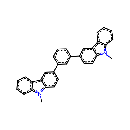 Cn1c2ccccc2c2cc(-c3cccc(-c4ccc5c(c4)c4ccccc4n5C)c3)ccc21